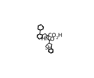 O=C(N[C@@H](Cc1ccccc1-c1ccccc1)C(=O)O)C(CS)Cc1ccccc1